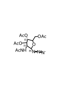 CC(=O)N[C@H]1C(OC(C)=O)[C@H](OC(C)=O)C(COC(C)=O)O[C@H]1N=[N+]=[N-]